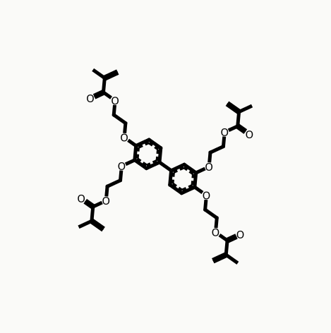 C=C(C)C(=O)OCCOc1ccc(-c2ccc(OCCOC(=O)C(=C)C)c(OCCOC(=O)C(=C)C)c2)cc1OCCOC(=O)C(=C)C